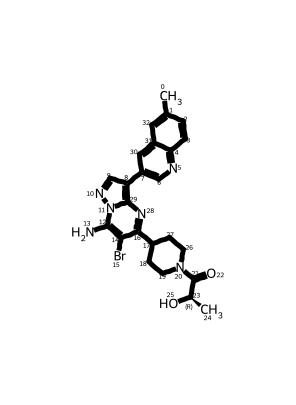 Cc1ccc2ncc(-c3cnn4c(N)c(Br)c(C5CCN(C(=O)[C@@H](C)O)CC5)nc34)cc2c1